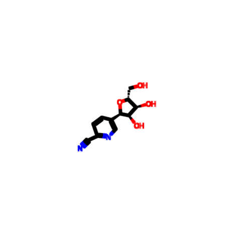 N#Cc1ccc([C@H]2O[C@H](CO)[C@@H](O)[C@H]2O)cn1